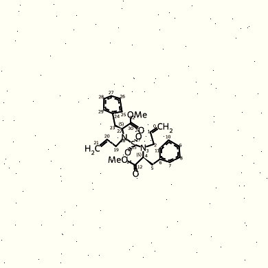 C=CCN([C@@H](Cc1ccccc1)C(=O)OC)S(=O)(=O)N(CC=C)[C@@H](Cc1ccccc1)C(=O)OC